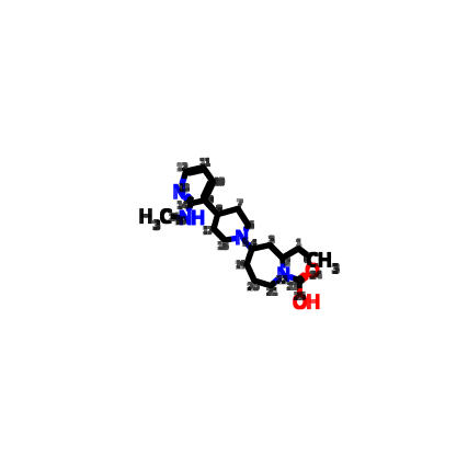 CCC1CC(N2CCC(c3cccnc3NC)CC2)CCCN1C(=O)O